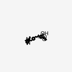 CCc1nn2c(C)cc(C)nc2c1Cc1ccc(/C=C/CN2CCN(C(=O)OC(C)(C)C)C(CO)C2)cc1